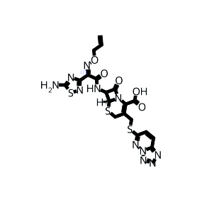 C=CCO/N=C(\C(=O)NC1C(=O)N2C(C(=O)O)=C(CSc3ccc4nnnn4n3)CS[C@H]12)c1nsc(N)n1